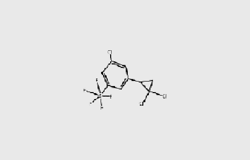 FS(F)(F)(F)(F)c1cc(Cl)cc(C2CC2(Cl)Cl)c1